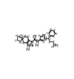 CN(C)CCC(c1ccccc1)n1cc(NC(=O)c2n[nH]c3c2CCC2(CCCO2)C3)cn1